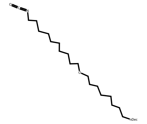 CCCCCCCCCCCCCCCCCCOCCCCCCCCCCN=C=O